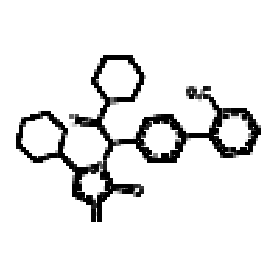 O=C(O)c1ccccc1-c1ccc(C(C(=O)C2CCCCC2)n2c(C3CCCCC3)c[nH]c2=O)cc1